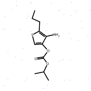 CCCc1scc(OC(=O)OC(C)C)c1N